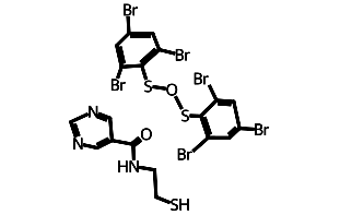 Brc1cc(Br)c(SOSc2c(Br)cc(Br)cc2Br)c(Br)c1.O=C(NCCS)c1cncnc1